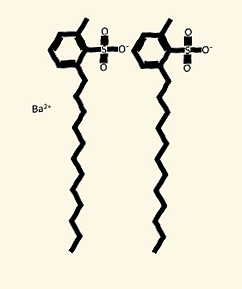 CCCCCCCCCCCCc1cccc(C)c1S(=O)(=O)[O-].CCCCCCCCCCCCc1cccc(C)c1S(=O)(=O)[O-].[Ba+2]